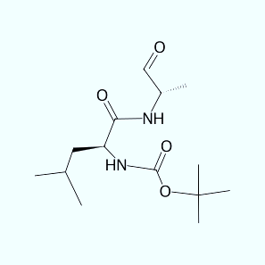 CC(C)C[C@H](NC(=O)OC(C)(C)C)C(=O)N[C@@H](C)C=O